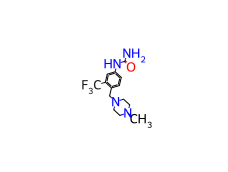 CN1CCN(Cc2ccc(NC(N)=O)cc2C(F)(F)F)CC1